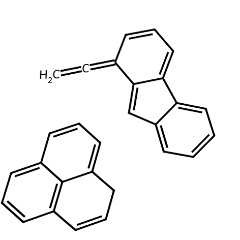 C1=Cc2cccc3cccc(c23)C1.C=C=c1cccc2c1=Cc1ccccc1-2